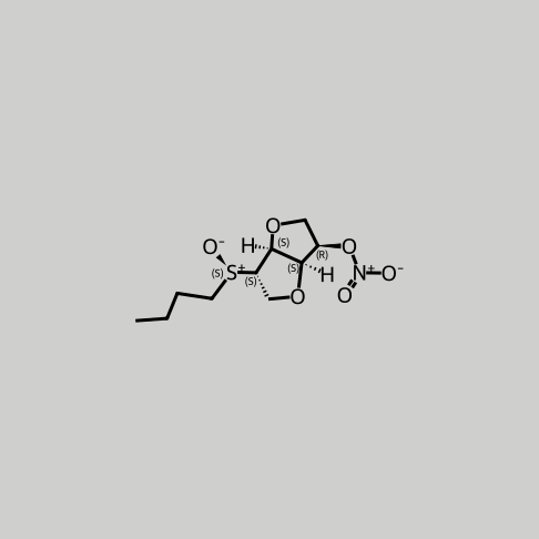 CCCC[S@@+]([O-])[C@H]1CO[C@H]2[C@@H]1OC[C@H]2O[N+](=O)[O-]